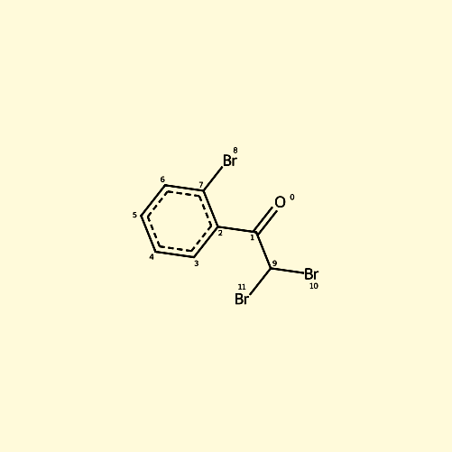 O=C(c1ccccc1Br)C(Br)Br